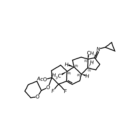 CC(=O)OC1(OC2CCCCO2)CC[C@@]2(C)C(=CC[C@@H]3[C@H]2CC[C@]2(C)C(=NC4CC4)CC[C@@H]32)C1(F)F